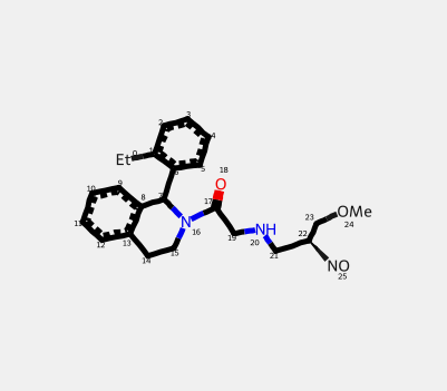 CCc1ccccc1C1c2ccccc2CCN1C(=O)CNC[C@@H](COC)N=O